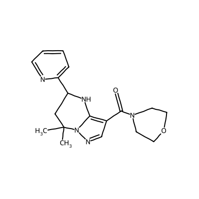 CC1(C)CC(c2ccccn2)Nc2c(C(=O)N3CCOCC3)cnn21